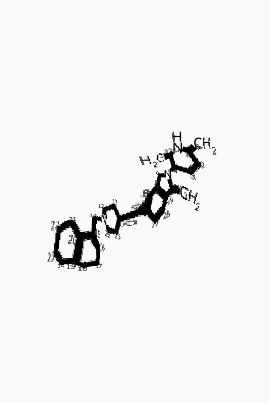 C=C1CCC(N2Cc3cc(C4CCN(Cc5cccc6c5CCCC6)CC4)ccc3C2=C)C(=C)N1